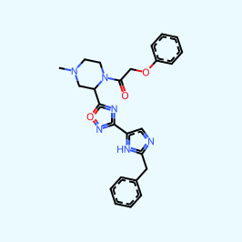 CN1CCN(C(=O)COc2ccccc2)C(c2nc(-c3cnc(Cc4ccccc4)[nH]3)no2)C1